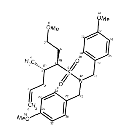 C=CC[C@H](C)[C@@H](CCOC)S(=O)(=O)N(Cc1ccc(OC)cc1)Cc1ccc(OC)cc1